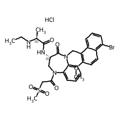 CCN[C@@H](C)C(=O)N[C@H]1CN(C(=O)CS(C)(=O)=O)c2ccccc2N(Cc2c(OC)ccc3c(Br)cccc23)C1=O.Cl